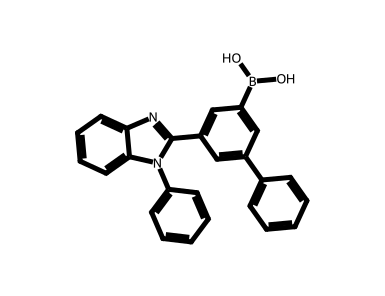 OB(O)c1cc(-c2ccccc2)cc(-c2nc3ccccc3n2-c2ccccc2)c1